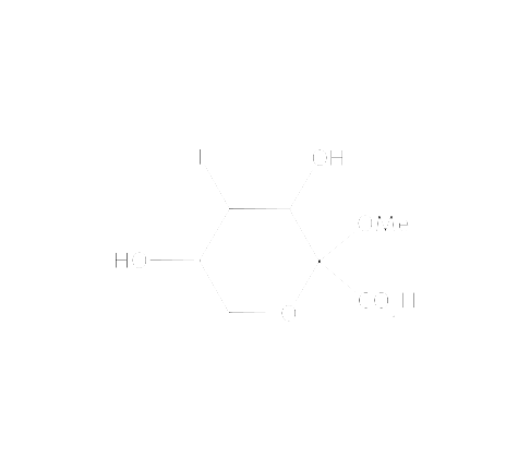 COC1(C(=O)O)OCC(O)C(I)C1O